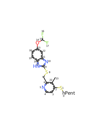 CCCCCSc1ccnc(CSc2nc3cc(OC(F)F)ccc3[nH]2)c1C